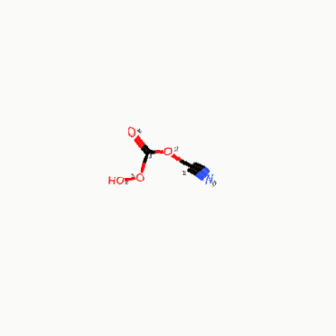 N#COC(=O)OO